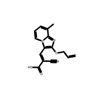 C=CCOc1nc2c(C)cccn2c1/C=C(\C#N)C(=O)O